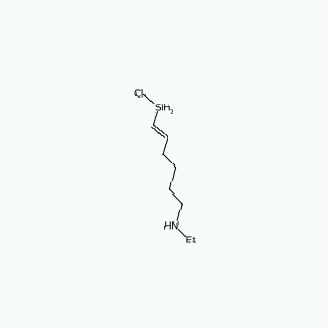 CCNCCCCC=C[SiH2]Cl